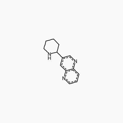 c1cnc2cc(C3CCCCN3)cnc2c1